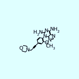 COc1cc(C#CCN2CCOCC2)ccc1-n1c(N)nc(N)c2ncnc1-2